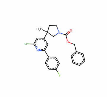 CC1(c2cc(Cl)nc(-c3ccc(F)cc3)c2)CCN(C(=O)OCc2ccccc2)C1